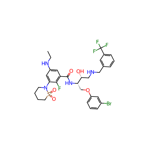 CCNc1cc(C(=O)N[C@@H](COc2cccc(Br)c2)[C@H](O)CNCc2cccc(C(F)(F)F)c2)c(F)c(N2CCCCS2(=O)=O)c1